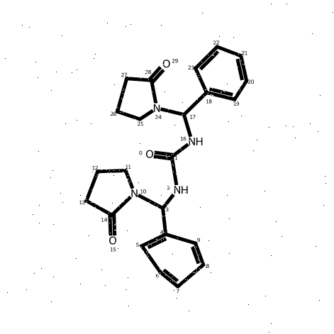 O=C(NC(c1ccccc1)N1CCCC1=O)NC(c1ccccc1)N1CCCC1=O